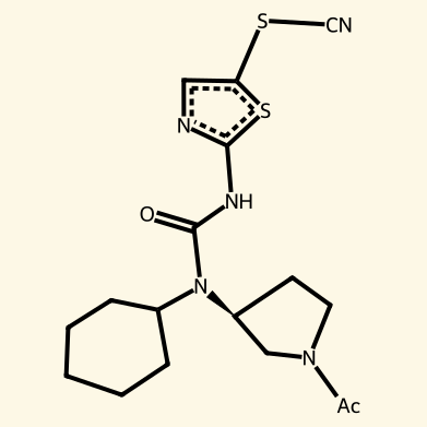 CC(=O)N1CC[C@H](N(C(=O)Nc2ncc(SC#N)s2)C2CCCCC2)C1